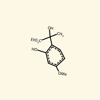 CCOC(=O)C(C)(O)c1ccc(OC)cc1O